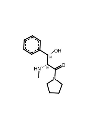 CN[C@@H](C(=O)N1CCCC1)[C@@H](O)c1ccccc1